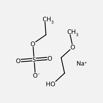 CCOS(=O)(=O)[O-].COCCO.[Na+]